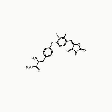 COC(=O)C(N)Cc1ccc(Oc2ccc(C=C3OC(=O)NC3=O)c(F)c2F)cc1